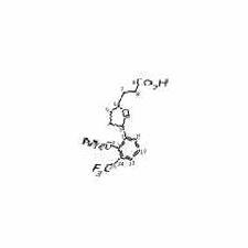 COc1c(C2CCC(CCC(=O)O)O2)cccc1C(F)(F)F